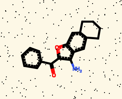 Nc1c(C(=O)c2ccccc2)oc2cc3c(cc12)CCCC3